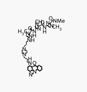 CNC(=O)c1nc(NC(=O)c2nc(NC(=O)c3nc(NCCCN4CCN(CCCNc5ccc6ncn7c8ccccc8c(=O)c5c67)CC4)cn3C)cn2C)cn1C